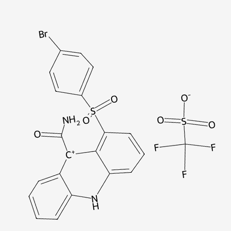 NC(=O)[c+]1c2ccccc2[nH]c2cccc(S(=O)(=O)c3ccc(Br)cc3)c21.O=S(=O)([O-])C(F)(F)F